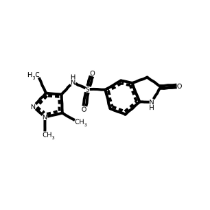 Cc1nn(C)c(C)c1NS(=O)(=O)c1ccc2c(c1)CC(=O)N2